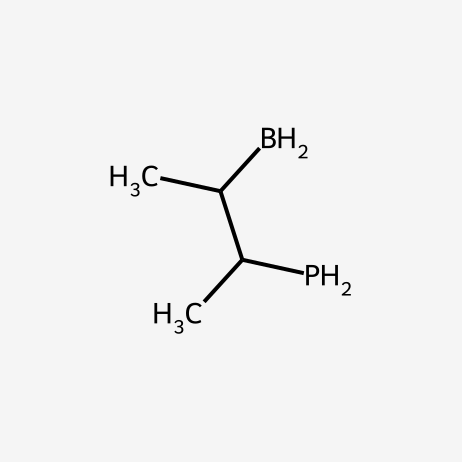 BC(C)C(C)P